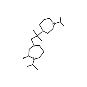 CC(C)N1CCCN(C(C)(C)CN2CCCN(C(C)C)[C@@H](C)C2)CC1